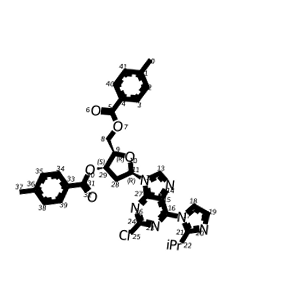 Cc1ccc(C(=O)OC[C@H]2O[C@@H](n3cnc4c(-n5ccnc5C(C)C)nc(Cl)nc43)C[C@@H]2OC(=O)c2ccc(C)cc2)cc1